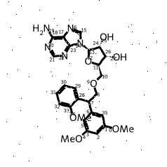 COc1cc(OC)cc(C(COC[C@H]2O[C@@H](n3cnc4c(N)ncnc43)[C@H](O)[C@@H]2O)c2ccccc2OC)c1